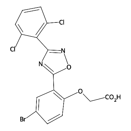 O=C(O)COc1ccc(Br)cc1-c1nc(-c2c(Cl)cccc2Cl)no1